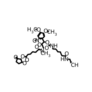 C#CCNC(=O)CCCCCNC(=O)OC(CCN(C)C(=O)CCCCC(=O)OC1C(=O)CCC1=O)c1cc(OC)c(OC)cc1[N+](=O)[O-]